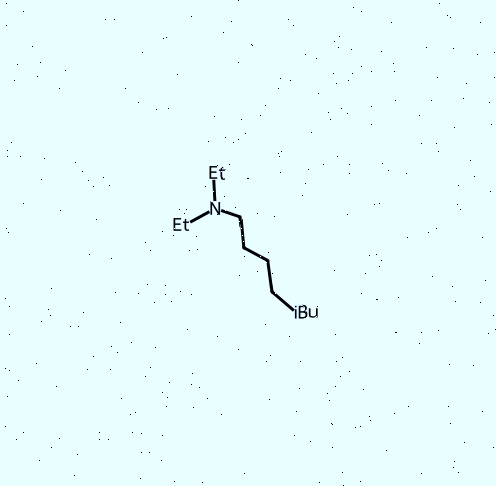 CCC(C)CCCCN(CC)CC